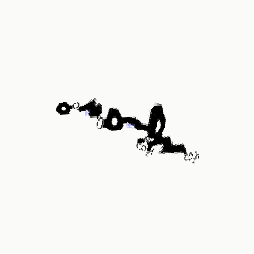 Cc1c(CCCC(=O)O)c2cccc(/C=C/c3ccc(OC/C=C/COc4ccccc4)cc3)c2n1CC(=O)O